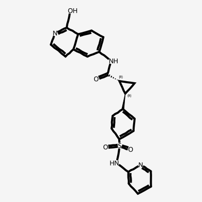 O=C(Nc1ccc2c(O)nccc2c1)[C@@H]1C[C@H]1c1ccc(S(=O)(=O)Nc2ccccn2)cc1